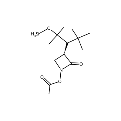 CC(=O)ON1C[C@@H](C(C(C)(C)C)C(C)(C)O[SiH3])C1=O